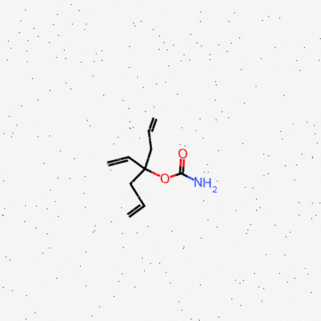 C=CCC(C=C)(CC=C)OC(N)=O